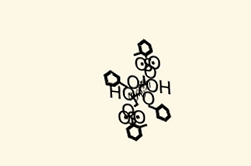 Cc1ccccc1S(=O)(=O)OC[C@@H](O)[C@@H](OCc1ccccc1)[C@H](OCc1ccccc1)[C@H](O)COS(=O)(=O)c1ccccc1C